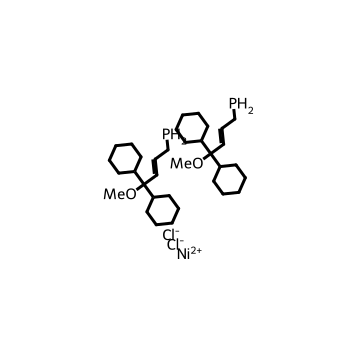 COC(C=CCP)(C1CCCCC1)C1CCCCC1.COC(C=CCP)(C1CCCCC1)C1CCCCC1.[Cl-].[Cl-].[Ni+2]